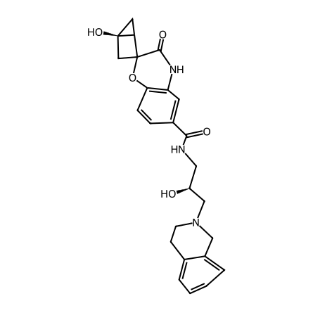 O=C(NC[C@H](O)CN1CCc2ccccc2C1)c1ccc2c(c1)NC(=O)C1(C[C@]3(O)CC13)O2